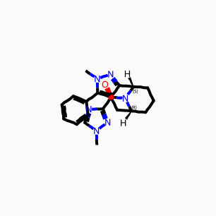 Cn1cnc(C(=O)N2[C@@H]3CCC[C@H]2c2nn(C)c(-c4ccccc4)c2C3)n1